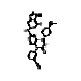 CO[C@H]1CC[C@H](N2c3nc(Nc4cc(F)c5[nH]ncc5c4)ncc3N(c3cccc(C#N)c3)C(=O)[C@H]2C)CC1